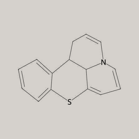 C1=CN2C=CCC3c4ccccc4SC(=C1)C32